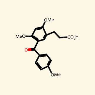 COc1ccc(C(=O)c2cc(CCC(=O)O)c(OC)cc2OC)cc1